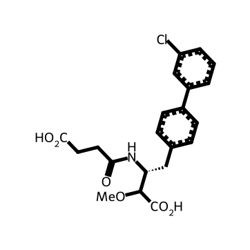 COC(C(=O)O)[C@@H](Cc1ccc(-c2cccc(Cl)c2)cc1)NC(=O)CCC(=O)O